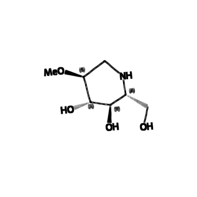 CO[C@H]1CN[C@H](CO)[C@@H](O)[C@@H]1O